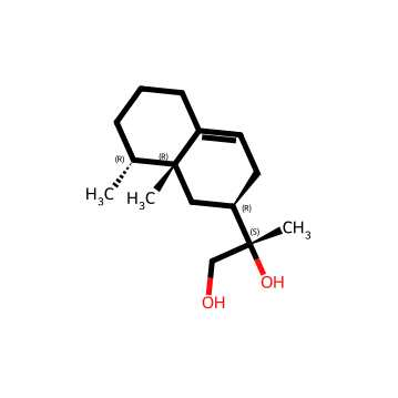 C[C@@H]1CCCC2=CC[C@@H]([C@](C)(O)CO)C[C@@]21C